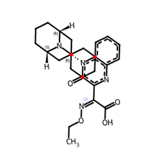 CCO/N=C(\C(=O)O)c1nc2ccccc2n([C@H]2C[C@H]3CCC[C@@H](C2)N3C2CCCCC2)c1=O